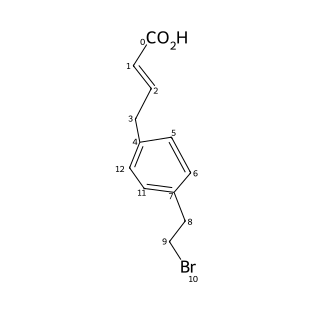 O=C(O)C=CCc1ccc(CCBr)cc1